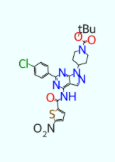 CC(C)(C)OC(=O)N1CCC(n2ncc3c(NC(=O)c4ccc([N+](=O)[O-])s4)nc(-c4ccc(Cl)cc4)nc32)CC1